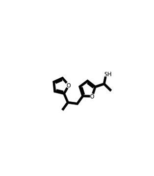 CC(S)c1ccc(CC(C)c2ccco2)o1